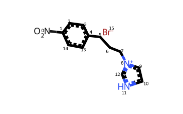 O=[N+]([O-])c1ccc(CCC[n+]2cc[nH]c2)cc1.[Br-]